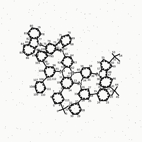 CC(C)(C)c1cccc(-c2cc3c4c(c2)N(c2cc(-c5ccccc5)cc(-c5ccccc5)c2)c2cc(-n5c6ccc(C(C)(C)C)cc6c6cc(C(C)(C)C)ccc65)ccc2B4c2ccc(-n4c5ccccc5c5cc(-n6c7ccccc7c7ccccc76)ccc54)cc2N3c2cc(-c3ccccc3)cc(-c3ccccc3)c2)c1